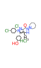 C[C@H]1C(C(=O)NN2CCCCCC2)=NN(c2ccc(Cl)cc2Cl)[C@H]1c1ccc(O)cc1.Cl